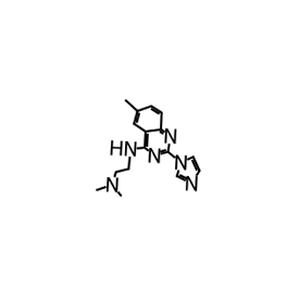 Cc1ccc2nc(-n3ccnc3)nc(NCCN(C)C)c2c1